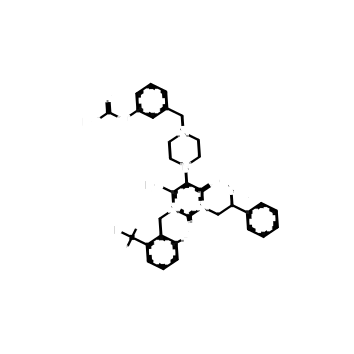 CC(=O)Oc1cccc(CN2CCN(c3c(C)n(Cc4c(F)cccc4C(F)(F)F)c(=O)n(CC(N)c4ccccc4)c3=O)CC2)c1